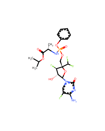 CC(C)OC(=O)[C@H](C)NP(=O)(OC[C@@]1(C(F)F)O[C@@H](n2cc(F)c(N)nc2=O)[C@H](O)[C@H]1F)Oc1ccccc1